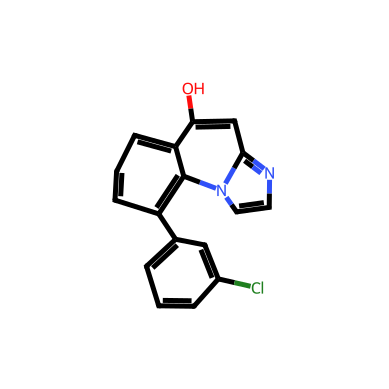 Oc1cc2nccn2c2c(-c3cccc(Cl)c3)cccc12